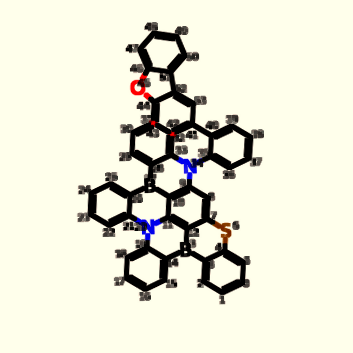 c1ccc2c(c1)Sc1cc3c4c5c1B2c1ccccc1N5c1ccccc1B4c1ccccc1N3c1ccccc1-c1ccc2oc3ccccc3c2c1